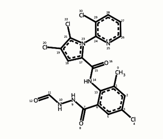 Cc1cc(Cl)cc(C(=O)NNC=O)c1NC(=O)c1cc(Cl)c(Cl)n1-c1ncccc1Cl